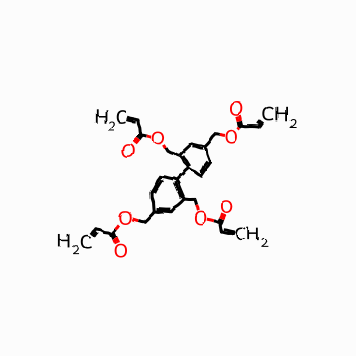 C=CC(=O)OCc1ccc(-c2ccc(COC(=O)C=C)cc2COC(=O)C=C)c(COC(=O)C=C)c1